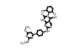 COc1cc(-c2ccc(Nc3ncc4c(=N)n(-c5c(Cl)cccc5Cl)c(=O)[nH]c4n3)cc2)nc(OC)n1